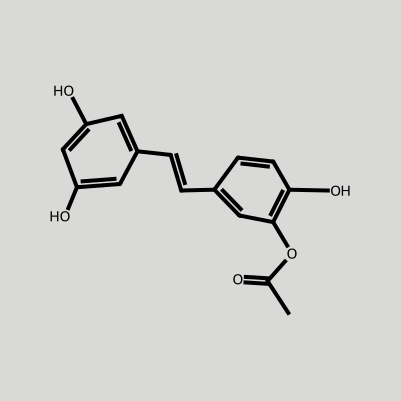 CC(=O)Oc1cc(/C=C/c2cc(O)cc(O)c2)ccc1O